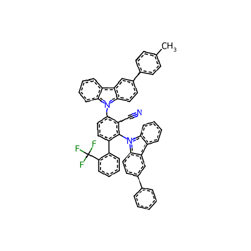 Cc1ccc(-c2ccc3c(c2)c2ccccc2n3-c2ccc(-c3ccccc3C(F)(F)F)c(-n3c4ccccc4c4cc(-c5ccccc5)ccc43)c2C#N)cc1